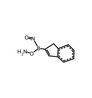 NOB(N=O)C1=Cc2ccccc2C1